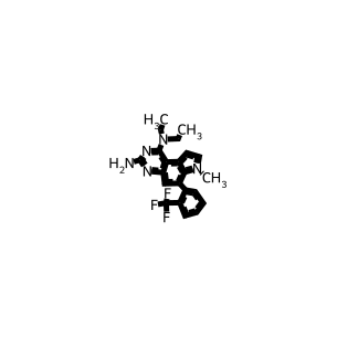 CCN(CC)c1nc(N)nc2cc(-c3ccccc3C(F)(F)F)c3c(ccn3C)c12